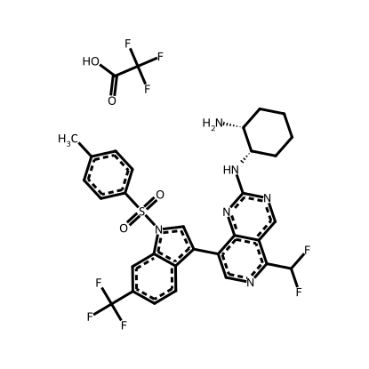 Cc1ccc(S(=O)(=O)n2cc(-c3cnc(C(F)F)c4cnc(N[C@H]5CCCC[C@H]5N)nc34)c3ccc(C(F)(F)F)cc32)cc1.O=C(O)C(F)(F)F